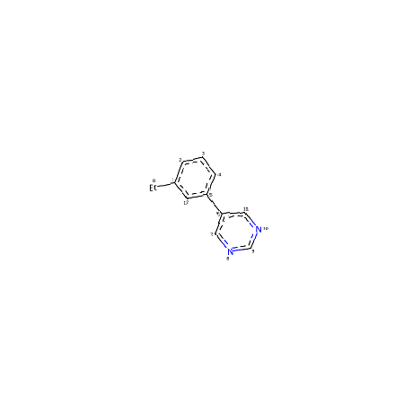 [CH2]Cc1cccc(-c2cncnc2)c1